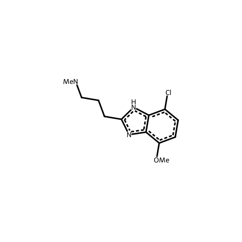 CNCCCc1nc2c(OC)ccc(Cl)c2[nH]1